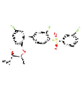 COC(=O)[C@H](C)Oc1ccc(F)cc1-c1ccc(S(=O)(=O)c2cccc(F)c2)c(F)c1